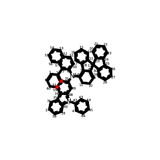 C1=CC(c2c(N(C3=C4C(=CCC3)C3(c5ccccc54)c4ccccc4-c4ccccc43)c3ccc4c5ccccc5n(-c5ccccc5)c4c3)ccc3ccccc23)=CCC1